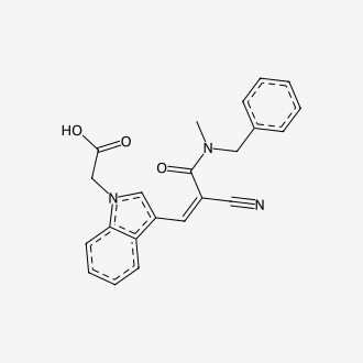 CN(Cc1ccccc1)C(=O)C(C#N)=Cc1cn(CC(=O)O)c2ccccc12